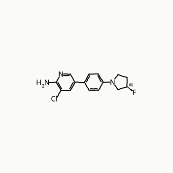 Nc1ncc(-c2ccc(N3CC[C@@H](F)C3)cc2)cc1Cl